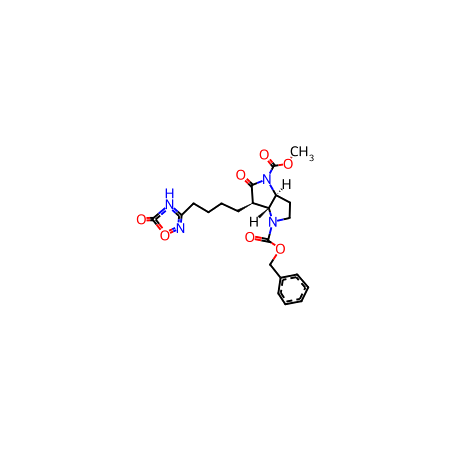 COC(=O)N1C(=O)[C@H](CCCCc2noc(=O)[nH]2)[C@@H]2[C@@H]1CCN2C(=O)OCc1ccccc1